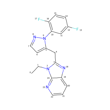 CCn1c(Cc2ccnn2-c2cc(F)ccc2F)nc2cccnc21